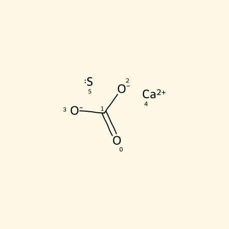 O=C([O-])[O-].[Ca+2].[S]